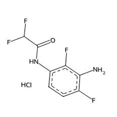 Cl.Nc1c(F)ccc(NC(=O)C(F)F)c1F